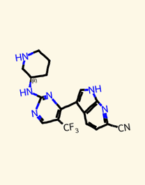 N#Cc1ccc2c(-c3nc(N[C@@H]4CCCNC4)ncc3C(F)(F)F)c[nH]c2n1